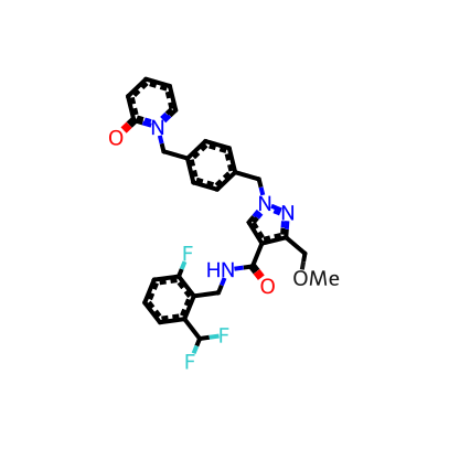 COCc1nn(Cc2ccc(Cn3ccccc3=O)cc2)cc1C(=O)NCc1c(F)cccc1C(F)F